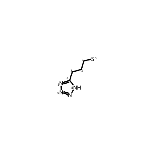 [S]CCCc1nnn[nH]1